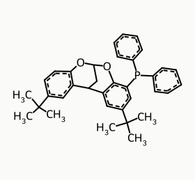 CC(C)(C)c1ccc2c(c1)C1CC(O2)Oc2c1cc(C(C)(C)C)cc2P(c1ccccc1)c1ccccc1